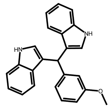 COc1cccc(C(c2c[nH]c3ccccc23)c2c[nH]c3ccccc23)c1